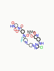 CNC(=O)COc1cc2cc(Nc3nc(N4CCC(CN5CCC6(CN(c7ccc8c(c7)C(=O)N(C7CCC(=O)NC7=O)C8=O)C6)C(F)(F)C5)CC4)ncc3Cl)ccc2n(C)c1=O